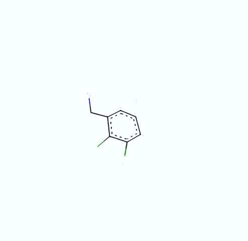 Cl.NCc1cccc(Cl)c1F